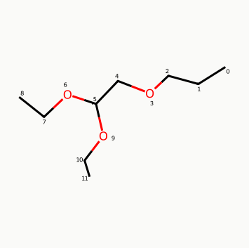 CCCOC[C](OCC)OCC